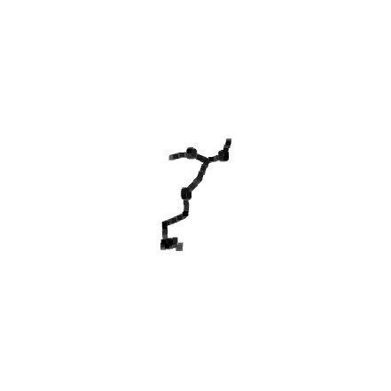 COC(COCCN)OC